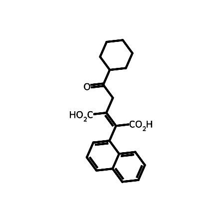 O=C(O)/C(CC(=O)C1CCCCC1)=C(/C(=O)O)c1cccc2ccccc12